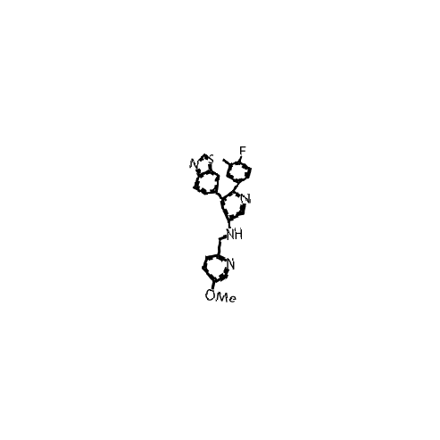 COc1ccc(CNc2cnc(-c3ccc(F)c(C)c3)c(-c3ccc4ncsc4c3)c2)nc1